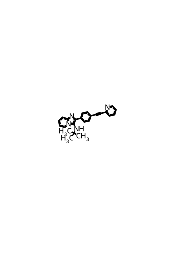 CC(C)(C)Nc1c(-c2ccc(C#Cc3ccccn3)cc2)nc2ccccn12